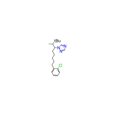 CC(C(CCCCCc1ccccc1Cl)n1cncn1)C(C)(C)C